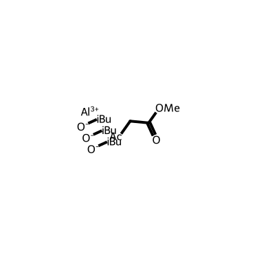 CCC(C)[O-].CCC(C)[O-].CCC(C)[O-].COC(=O)CC(C)=O.[Al+3]